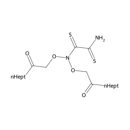 CCCCCCCC(=O)CON(OCC(=O)CCCCCCC)C(=S)C(N)=S